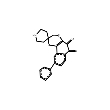 O=C1C(=O)c2ccc(-c3ccccc3)cc2C2=C1SCC1(CCNCC1)O2